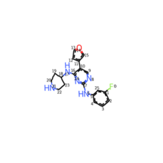 Fc1cccc(Nc2ncc(-c3ccoc3)c(NC3CCNCC3)n2)c1